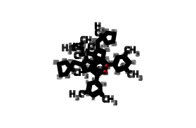 Cc1cc(C)cc(-c2cccc3c2C=C(CC2(C)CCCC2)[CH]3[Zr]([Cl])([Cl])([CH]2C(CC3(C)CCCC3)=Cc3c(-c4cc(C)cc(C)c4)cccc32)[SiH](C)C)c1